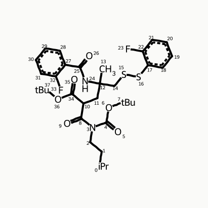 CC(C)CCN(C(=O)OC(C)(C)C)C(=O)C(CC(C)(CSSc1ccccc1F)NC(=O)c1ccccc1F)C(=O)OC(C)(C)C